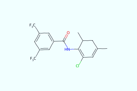 CC1=CC(Cl)=C(NC(=O)c2cc(C(F)(F)F)cc(C(F)(F)F)c2)C(C)C1